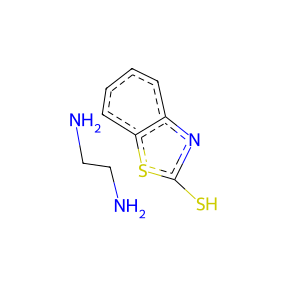 NCCN.Sc1nc2ccccc2s1